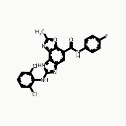 Cc1nc2c(o1)c(C(=O)Nc1ccc(F)cc1)cc1nc(Nc3c(Cl)cccc3Cl)[nH]c12